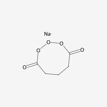 O=C1CCCC(=O)OOO1.[Na]